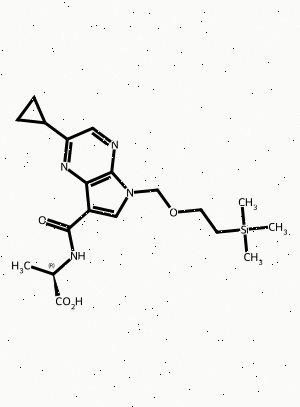 C[C@@H](NC(=O)c1cn(COCC[Si](C)(C)C)c2ncc(C3CC3)nc12)C(=O)O